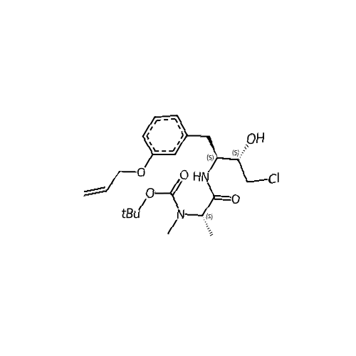 C=CCOc1cccc(C[C@H](NC(=O)[C@H](C)N(C)C(=O)OC(C)(C)C)[C@H](O)CCl)c1